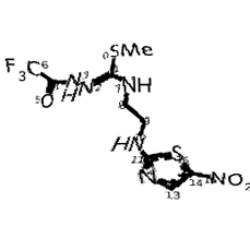 CSC(=NNC(=O)C(F)(F)F)NCCNc1ncc([N+](=O)[O-])s1